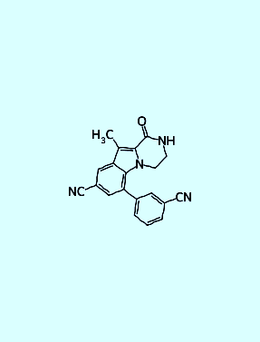 Cc1c2n(c3c(-c4cccc(C#N)c4)cc(C#N)cc13)CCNC2=O